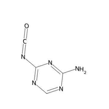 Nc1ncnc(N=C=O)n1